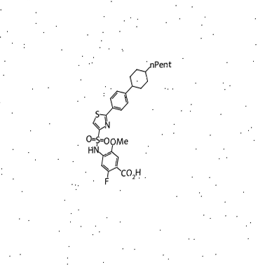 CCCCCC1CCC(c2ccc(-c3nc(S(=O)(=O)Nc4cc(F)c(C(=O)O)cc4OC)cs3)cc2)CC1